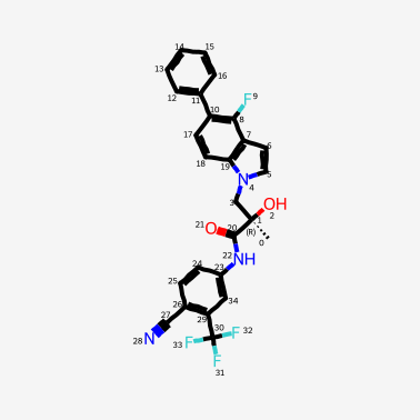 C[C@@](O)(Cn1ccc2c(F)c(-c3ccccc3)ccc21)C(=O)Nc1ccc(C#N)c(C(F)(F)F)c1